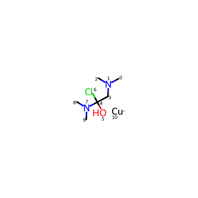 CN(C)CC(O)(Cl)N(C)C.[Cu]